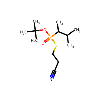 CC(C)C(C)P(=O)(OC(C)(C)C)SCCC#N